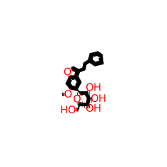 COc1cc2occ(CCc3ccccc3)c2cc1[C@@H]1O[C@H](CO)[C@@H](O)[C@H](O)[C@H]1O